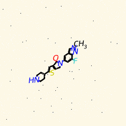 Cn1cc2cc(N3Cc4sc(C5CCNCC5)cc4C3=O)cc(F)c2n1